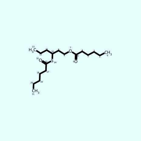 CCCCCC(=O)OCCC(CCC)SC(=O)CCCCC